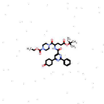 CCOC(=O)N1CCN(C(=O)C(CCC(=O)OC(C)(C)C)NC(=O)c2cc(C3CCC(=O)CC3)nc(-c3ccccc3)n2)CC1